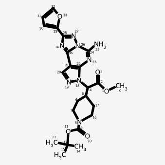 COC(=O)C(C1CCN(C(=O)OC(C)(C)C)CC1)n1ncc2c1nc(N)n1nc(-c3ccco3)nc21